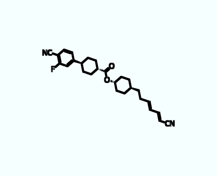 N#CC=CC=CCC[C@H]1CC[C@H](OC(=O)[C@H]2CC[C@H](c3ccc(C#N)c(F)c3)CC2)CC1